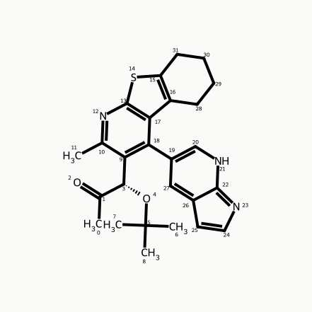 CC(=O)[C@@H](OC(C)(C)C)c1c(C)nc2sc3c(c2c1-c1c[nH]c2nccc-2c1)CCCC3